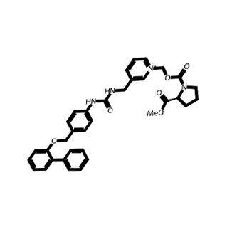 COC(=O)[C@@H]1CCCN1C(=O)OC[n+]1cccc(CNC(=O)Nc2ccc(COc3ccccc3-c3ccccc3)cc2)c1